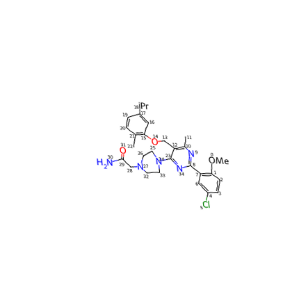 COc1ccc(Cl)cc1-c1nc(C)c(COc2cc(C(C)C)ccc2C)c(N2CCN(CC(N)=O)CC2)n1